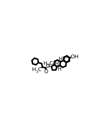 CC(CC1CCCCC1)C(=O)O[C@H]1CC[C@H]2[C@@H]3CCc4cc(O)ccc4[C@H]3CC[C@]12C